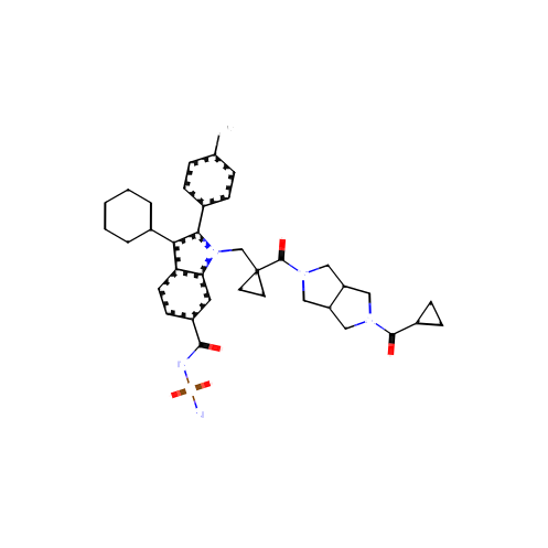 COc1ccc(-c2c(C3CCCCC3)c3ccc(C(=O)NS(N)(=O)=O)cc3n2CC2(C(=O)N3CC4CN(C(=O)C5CC5)CC4C3)CC2)cc1